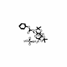 CC1(C)O[C@@H]2[C@@H](CO[C@@]3(COC(=O)Oc4ccccc4)OC(C)(C)O[C@@H]23)O1.NS(=O)(=O)O